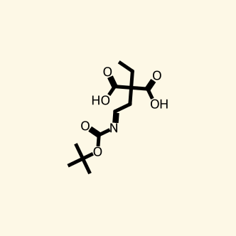 CCC(CC=NC(=O)OC(C)(C)C)(C(=O)O)C(=O)O